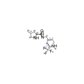 C/C=C(\C=C(/NC)C(F)(F)F)CNC(=O)[C@@H]1CC(C)CN1